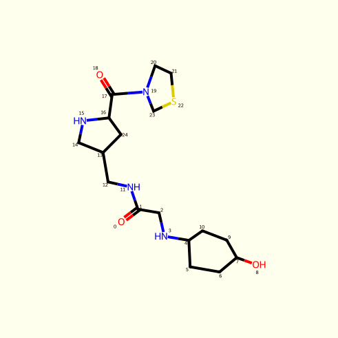 O=C(CNC1CCC(O)CC1)NCC1CNC(C(=O)N2CCSC2)C1